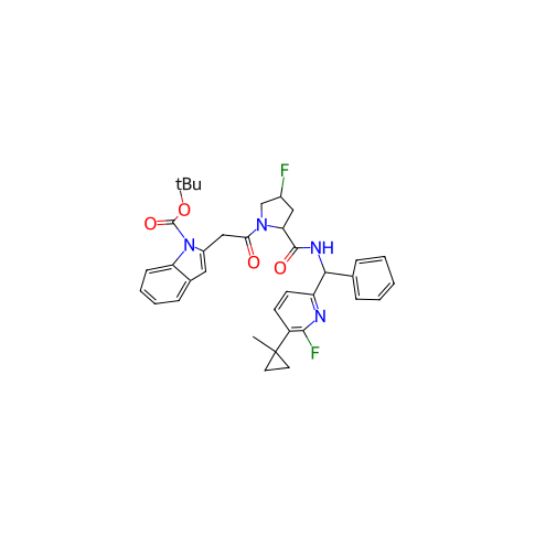 CC(C)(C)OC(=O)n1c(CC(=O)N2CC(F)CC2C(=O)NC(c2ccccc2)c2ccc(C3(C)CC3)c(F)n2)cc2ccccc21